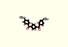 CC(C)(C)c1ccc(C(=O)c2ccc(C(=O)c3ccc(C(C)(C)C)cc3)cc2)cc1